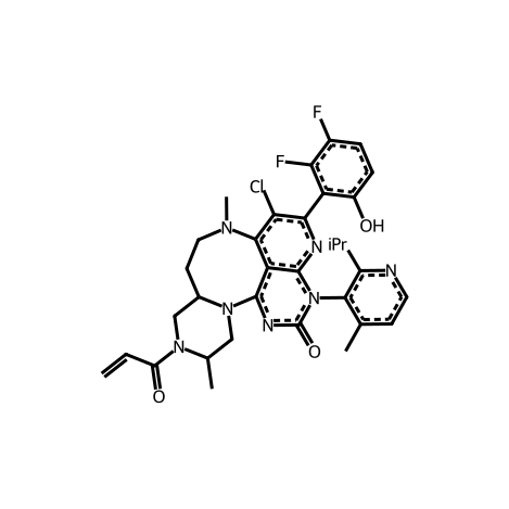 C=CC(=O)N1CC2CCN(C)c3c(Cl)c(-c4c(O)ccc(F)c4F)nc4c3c(nc(=O)n4-c3c(C)ccnc3C(C)C)N2CC1C